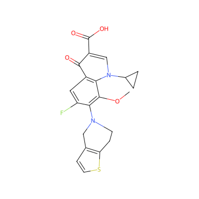 COc1c(N2CCc3sccc3C2)c(F)cc2c(=O)c(C(=O)O)cn(C3CC3)c12